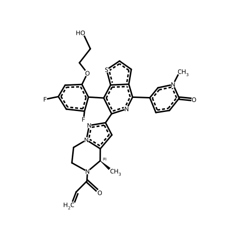 C=CC(=O)N1CCn2nc(-c3nc(-c4ccc(=O)n(C)c4)c4ccsc4c3-c3c(F)cc(F)cc3OCCO)cc2[C@H]1C